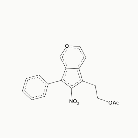 CC(=O)OCCc1c2ccocc-2c(-c2ccccc2)c1[N+](=O)[O-]